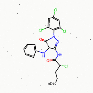 CCCCCCCCCCCCC(Cl)C(=O)NC1=NN(c2c(Cl)cc(Cl)cc2Cl)C(=O)C1Nc1ccccc1